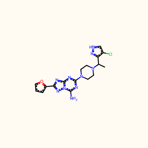 CC(c1n[nH]cc1Cl)N1CCN(c2nc(N)n3nc(-c4ccco4)nc3n2)CC1